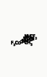 Cn1c(N2CCC3(CCC(C(F)(F)F)C3)CC2)nc(N)c(Sc2cccnc2C(F)(F)F)c1=O